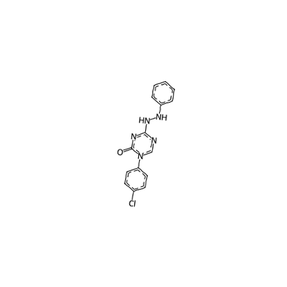 O=c1nc(NNc2ccccc2)ncn1-c1ccc(Cl)cc1